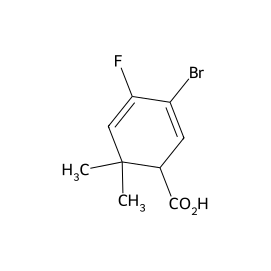 CC1(C)C=C(F)C(Br)=CC1C(=O)O